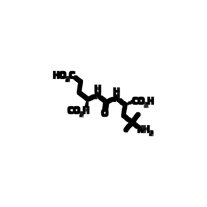 CC(C)(N)C[C@H](NC(=O)N[C@@H](CCC(=O)O)C(=O)O)C(=O)O